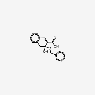 O=C(O)C1=Cc2ccccc2CC1(O)OCc1ccccc1